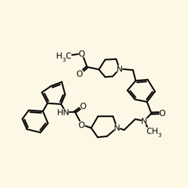 COC(=O)C1CCN(Cc2ccc(C(=O)N(C)CCN3CCC(OC(=O)Nc4ccccc4-c4ccccc4)CC3)cc2)CC1